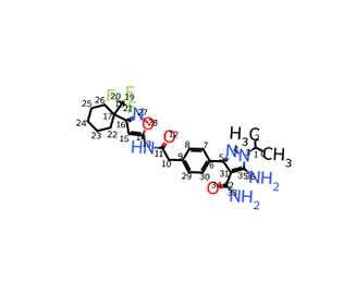 CC(C)n1nc(-c2ccc(CC(=O)Nc3cc(C4(C(F)(F)F)CCCCC4)no3)cc2)c(C(N)=O)c1N